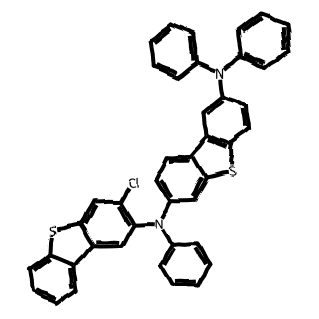 Clc1cc2sc3ccccc3c2cc1N(c1ccccc1)c1ccc2c(c1)sc1ccc(N(c3ccccc3)c3ccccc3)cc12